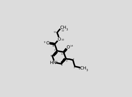 CCCc1c[nH]cc(C(=O)OCC)c1=O